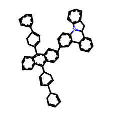 C1=CCC(C2=CCC(c3c4ccccc4c(C4=CC=C(c5ccccc5)CC4)c4cc(-c5ccc6c(c5)-c5ccccc5C5Cc7ccccc7N65)ccc34)C=C2)C=C1